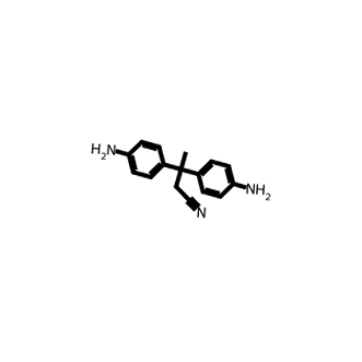 CC(CC#N)(c1ccc(N)cc1)c1ccc(N)cc1